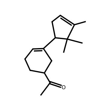 CC(=O)C1CCC=C(C2CC=C(C)C2(C)C)C1